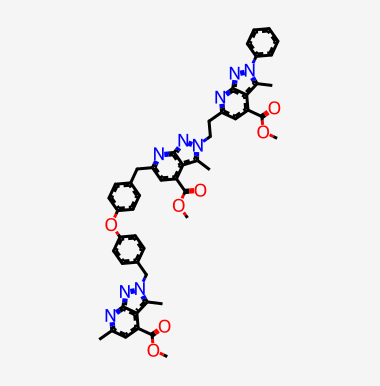 COC(=O)c1cc(C)nc2nn(Cc3ccc(Oc4ccc(Cc5cc(C(=O)OC)c6c(C)n(CCc7cc(C(=O)OC)c8c(C)n(-c9ccccc9)nc8n7)nc6n5)cc4)cc3)c(C)c12